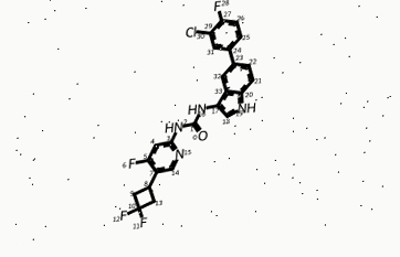 O=C(Nc1cc(F)c(C2CC(F)(F)C2)cn1)Nc1c[nH]c2ccc(-c3ccc(F)c(Cl)c3)cc12